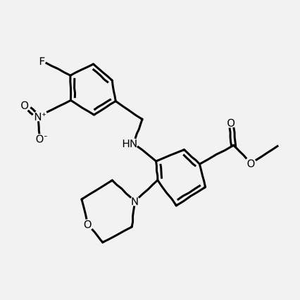 COC(=O)c1ccc(N2CCOCC2)c(NCc2ccc(F)c([N+](=O)[O-])c2)c1